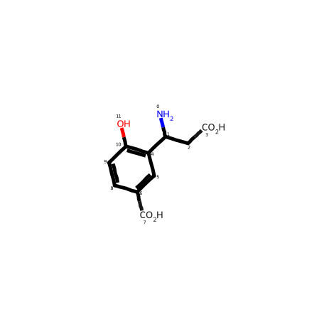 NC(CC(=O)O)c1cc(C(=O)O)ccc1O